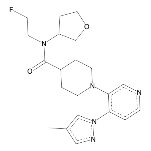 Cc1cnn(-c2ccncc2N2CCC(C(=O)N(CCF)C3CCOC3)CC2)c1